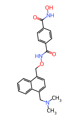 CN(C)Cc1ccc(CONC(=O)c2ccc(C(=O)NO)cc2)c2ccccc12